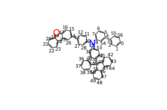 c1ccc(-c2cccc(N(c3ccc(-c4ccc5oc6ccccc6c5c4)cc3)c3ccc(C4(c5ccccc5)c5ccccc5-c5ccccc54)cc3)c2)cc1